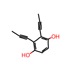 CC#Cc1c(O)ccc(O)c1C#CC